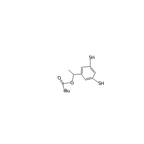 CCC(C)C(=O)OC(C)c1cc(S)cc(S)c1